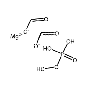 O=C[O-].O=C[O-].O=P(O)(O)OO.[Mg+2]